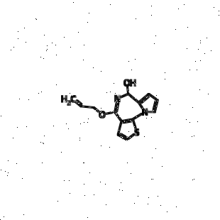 C=CCOC1=NC(O)c2cccn2-c2sccc21